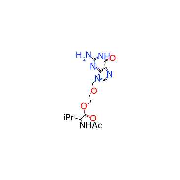 CC(=O)N[C@H](C(=O)OCCOCn1cnc2c(=O)[nH]c(N)nc21)C(C)C